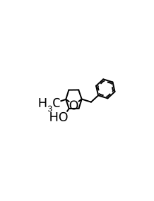 CC12CCC(Cc3ccccc3)(CC1O)O2